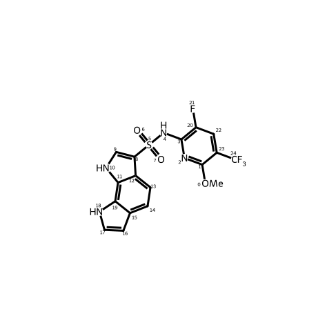 COc1nc(NS(=O)(=O)c2c[nH]c3c2ccc2cc[nH]c23)c(F)cc1C(F)(F)F